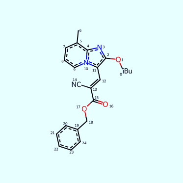 CCC(C)Oc1nc2c(C)cccn2c1C=C(C#N)C(=O)OCc1ccccc1